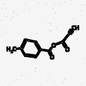 C#CC(=O)OC(=O)c1ccc(C)cc1